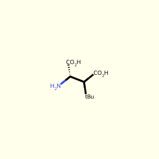 CC(C)(C)C(C(=O)O)[C@H](N)C(=O)O